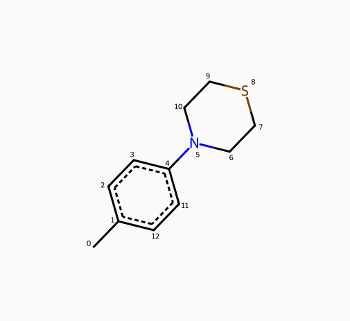 Cc1ccc(N2CCSCC2)cc1